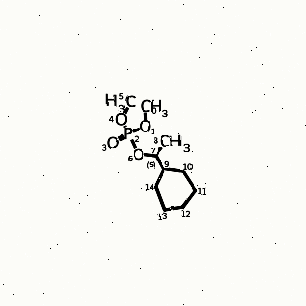 COP(=O)(OC)O[C@@H](C)C1CCCCC1